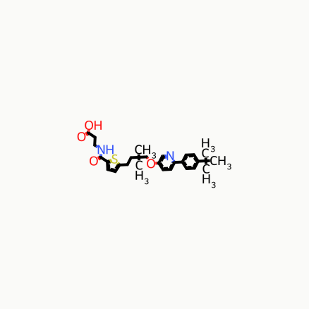 CC(C)(CCc1ccc(C(=O)NCCC(=O)O)s1)COc1ccc(-c2ccc(C(C)(C)C)cc2)nc1